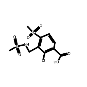 CS(=O)(=O)NCc1c(S(C)(=O)=O)ccc(C(=O)O)c1Cl